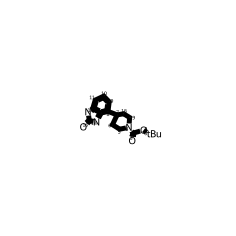 CC(C)(C)OC(=O)N1CCC(c2cccc3c2=NC(=O)N=3)CC1